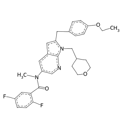 CCOc1ccc(Cc2cc3cc(N(C)C(=O)c4cc(F)ccc4F)cnc3n2CC2CCOCC2)cc1